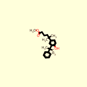 COC(=O)CCCC(C)(C)c1ccc(O)c(C(C)(C)c2ccccc2)c1